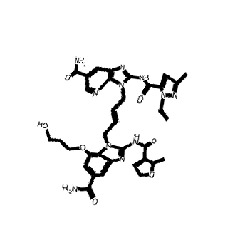 CCn1nc(C)cc1C(=O)Nc1nc2cc(C(N)=O)cnc2n1C/C=C/Cn1c(NC(=O)C2=CCOC2C)nc2cc(C(N)=O)cc(OCCCO)c21